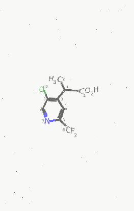 CC(C(=O)O)c1cc(C(F)(F)F)ncc1Cl